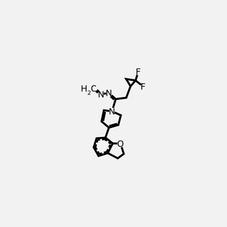 C=N/N=C(/CC1CC1(F)F)N1C=CC(c2cccc3c2OCC3)=CC1